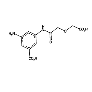 Nc1cc(NC(=O)COCC(=O)O)cc(C(=O)O)c1